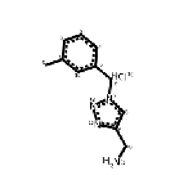 Cc1cccc(Cn2cc(CN)nn2)c1.Cl